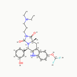 CCN(CC)CCCN1C(=O)N2[C@H](c3cccc(O)c3)c3[nH]c4ccc(OC(F)F)cc4c3C[C@@]2(C)C1=O